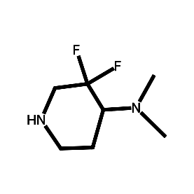 CN(C)C1CCNCC1(F)F